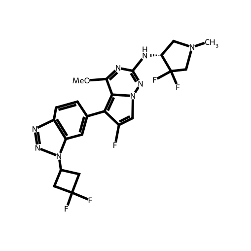 COc1nc(N[C@@H]2CN(C)CC2(F)F)nn2cc(F)c(-c3ccc4nnn(C5CC(F)(F)C5)c4c3)c12